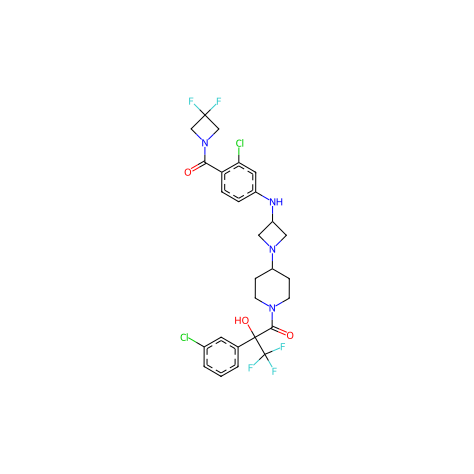 O=C(c1ccc(NC2CN(C3CCN(C(=O)C(O)(c4cccc(Cl)c4)C(F)(F)F)CC3)C2)cc1Cl)N1CC(F)(F)C1